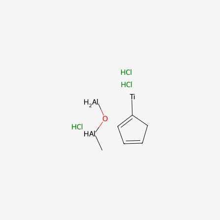 Cl.Cl.Cl.[CH3][AlH][O][AlH2].[Ti][C]1=CC=CC1